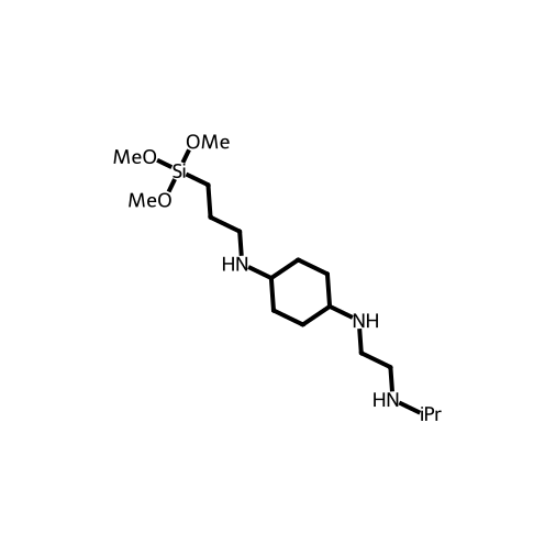 CO[Si](CCCNC1CCC(NCCNC(C)C)CC1)(OC)OC